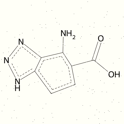 Nc1c(C(=O)O)ccc2[nH]nnc12